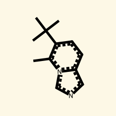 Cc1c(C(C)(C)C)ccc2cncn12